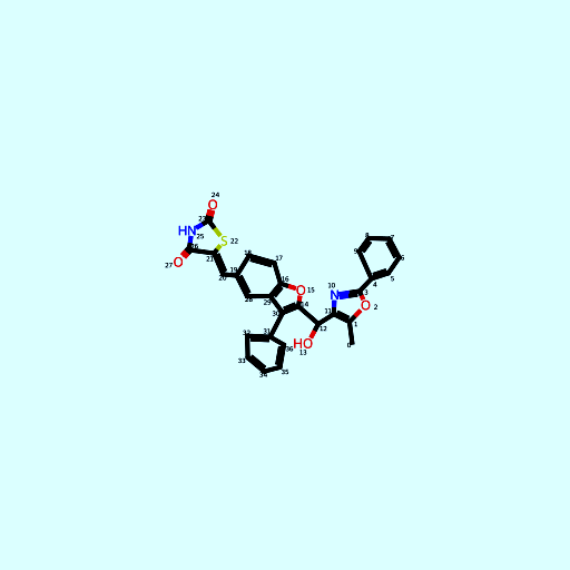 Cc1oc(-c2ccccc2)nc1C(O)c1oc2ccc(/C=C3\SC(=O)NC3=O)cc2c1-c1ccccc1